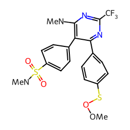 CNc1nc(C(F)(F)F)nc(-c2ccc(SOOC)cc2)c1-c1ccc(S(=O)(=O)NC)cc1